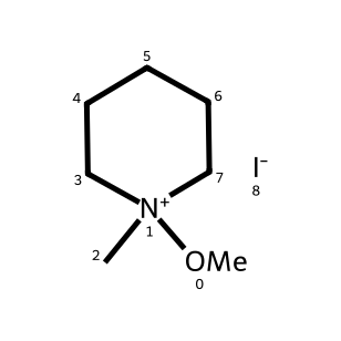 CO[N+]1(C)CCCCC1.[I-]